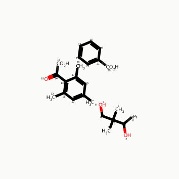 CC(C)C(O)C(C)(C)CO.Cc1cc(C)c(C(=O)C(=O)O)c(C)c1.O=C(O)c1ccccc1